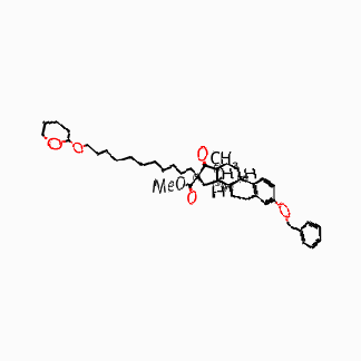 COC(=O)[C@@]1(CCCCCCCCCCCOC2CCCCO2)C[C@H]2[C@@H]3CCc4cc(OCc5ccccc5)ccc4[C@H]3CC[C@]2(C)C1=O